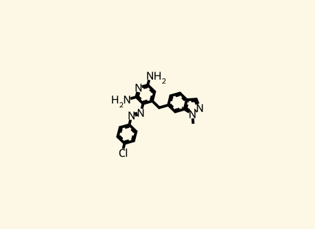 Cn1ncc2ccc(Cc3cc(N)nc(N)c3/N=N/c3ccc(Cl)cc3)cc21